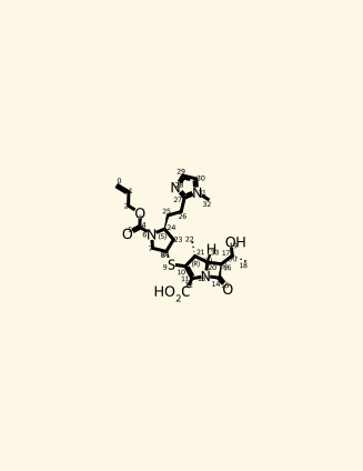 C=CCOC(=O)N1C[C@@H](SC2=C(C(=O)O)N3C(=O)[C@H]([C@@H](C)O)[C@H]3[C@H]2C)C[C@@H]1CCc1nccn1C